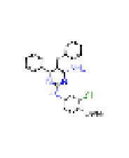 COc1ccc(Nc2nc(N)c(Cc3ccccc3)c(-c3ccccc3)n2)cc1Cl